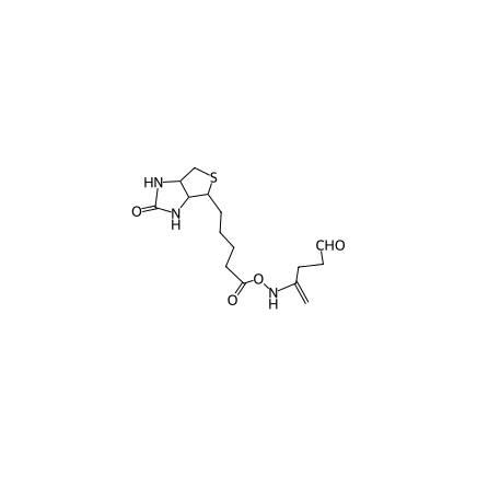 C=C(CCC=O)NOC(=O)CCCCC1SCC2NC(=O)NC21